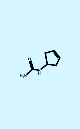 NC(=O)NC1CC=CC1